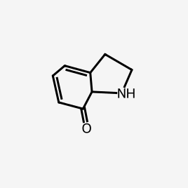 O=C1C=CC=C2CCNC12